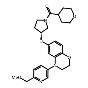 COCc1ccc(N2CCOc3ccc(O[C@H]4CCN(C(=O)C5CCOCC5)C4)cc32)cn1